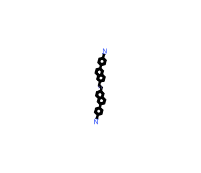 N#Cc1ccc(-c2ccc3cc(/C=C/c4ccc5cc(-c6ccc(C#N)cc6)ccc5c4)ccc3c2)cc1